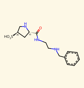 O=C(NCCNCc1ccccc1)[C@@H]1C[C@@H](S(=O)(=O)O)CN1